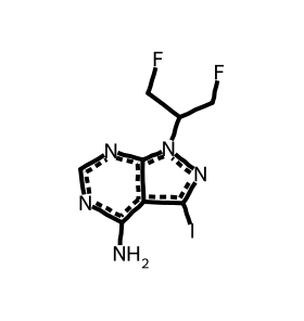 Nc1ncnc2c1c(I)nn2C(CF)CF